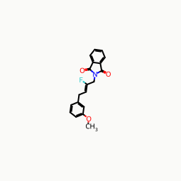 COc1cccc(CC=C(F)CN2C(=O)c3ccccc3C2=O)c1